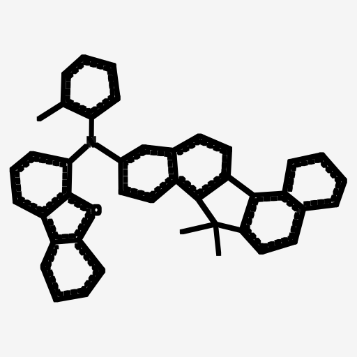 Cc1ccccc1N(c1ccc2c3c(ccc2c1)-c1c(ccc2ccccc12)C3(C)C)c1cccc2c1oc1ccccc12